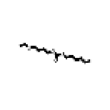 CCCCCCOC(=O)OCCCCOCC